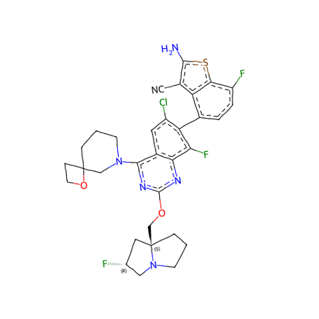 N#Cc1c(N)sc2c(F)ccc(-c3c(Cl)cc4c(N5CCCC6(CCO6)C5)nc(OC[C@@]56CCCN5C[C@H](F)C6)nc4c3F)c12